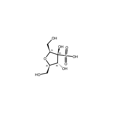 O=S(=O)(O)[C@@]1(O)[C@H](CO)O[C@H](CO)[C@H]1O